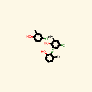 CCCc1cc(Cl)ccc1O.CCc1cccc(O)c1Cl.Cc1cc(Cl)ccc1O